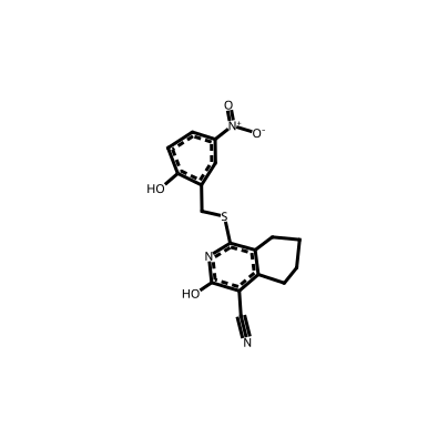 N#Cc1c(O)nc(SCc2cc([N+](=O)[O-])ccc2O)c2c1CCCC2